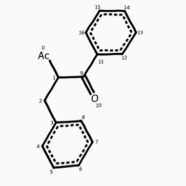 CC(=O)C(Cc1ccccc1)C(=O)c1ccccc1